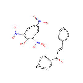 O=C(C=Cc1ccccc1)c1ccccc1.O=[N+]([O-])c1cc([N+](=O)[O-])c(O)c([N+](=O)[O-])c1